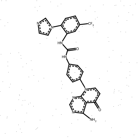 Nc1ncnc2c1c(=O)ccn2-c1ccc(NC(=O)Nc2cc(C(F)(F)F)ccc2-n2ccnc2)cc1